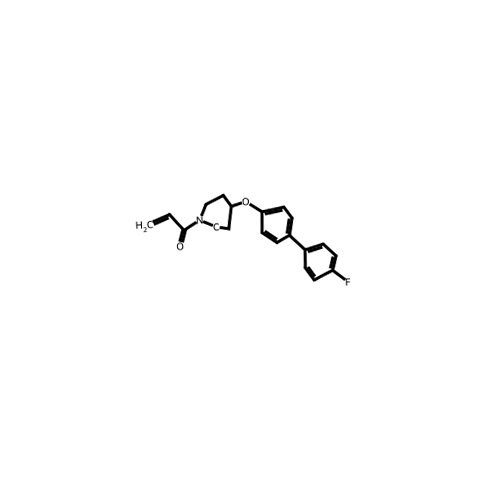 C=CC(=O)N1CCC(Oc2ccc(-c3ccc(F)cc3)cc2)CC1